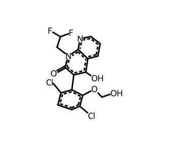 O=c1c(-c2c(Cl)ccc(Cl)c2OCO)c(O)c2cccnc2n1CC(F)F